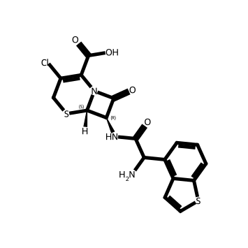 NC(C(=O)N[C@@H]1C(=O)N2C(C(=O)O)=C(Cl)CS[C@@H]12)c1cccc2sccc12